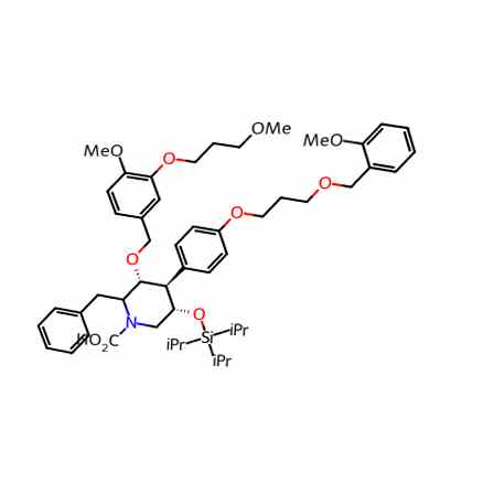 COCCCOc1cc(CO[C@H]2C(Cc3ccccc3)N(C(=O)O)C[C@@H](O[Si](C(C)C)(C(C)C)C(C)C)[C@@H]2c2ccc(OCCCOCc3ccccc3OC)cc2)ccc1OC